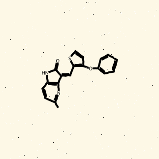 Cc1ccc2c(n1)C(=Cc1sccc1Oc1ccccc1)C(=O)N2